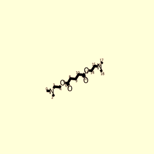 CN(C)CCOC(=O)CCCC(=O)OCCN(C)C